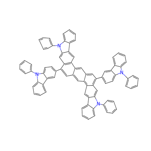 c1ccc(-n2c3ccccc3c3cc(-c4cc5cc6c(cc(-c7ccc8c(c7)c7ccccc7n8-c7ccccc7)c7cc8c(cc76)c6ccccc6n8-c6ccccc6)cc5c5cc6c7ccccc7n(-c7ccccc7)c6cc45)ccc32)cc1